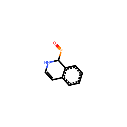 O=PC1NC=Cc2ccccc21